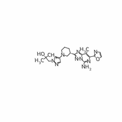 Cc1c(-c2ncco2)nc(N)n2nc([C@@H]3CCCN(c4cnn(CC(C)(C)O)c4)C3)nc12